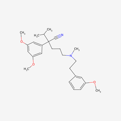 COc1cccc(CCN(C)CCCC(C#N)(c2cc(OC)cc(OC)c2)C(C)C)c1